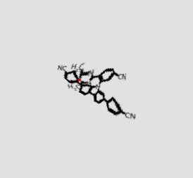 Cc1nc(C)nc(-c2ccc(C#N)cc2-n2c3cc(-c4ccc(C#N)cc4)ccc3c3ccc(-c4ccc(C#N)cc4)cc32)n1